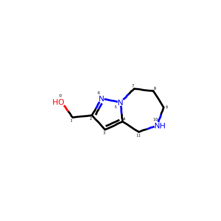 OCc1cc2n(n1)CCCNC2